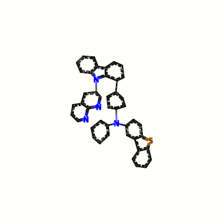 c1ccc(N(c2ccc(-c3cccc4c5ccccc5n(-c5cnc6ncccc6c5)c34)cc2)c2ccc3sc4ccccc4c3c2)cc1